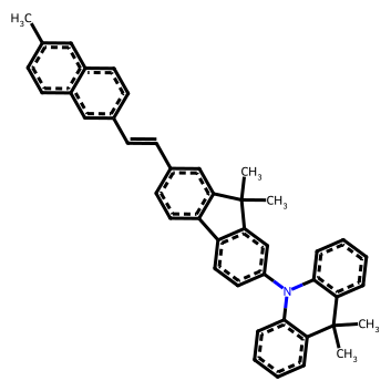 Cc1ccc2cc(/C=C/c3ccc4c(c3)C(C)(C)c3cc(N5c6ccccc6C(C)(C)c6ccccc65)ccc3-4)ccc2c1